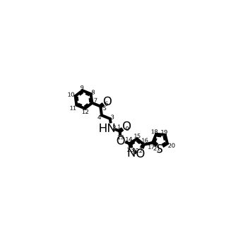 O=C(NCCC(=O)c1ccccc1)Oc1cc(-c2cccs2)on1